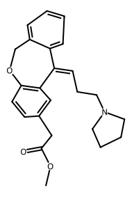 COC(=O)Cc1ccc2c(c1)/C(=C\CCN1CCCC1)c1ccccc1CO2